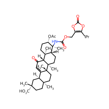 CC(=O)O[C@H]1CC[C@@]2(C)[C@@H](CC[C@]3(C)[C@@H]2C(=O)C=C2[C@@H]4C[C@@](C)(C(=O)O)CC[C@]4(C)CC[C@]23C)[C@]1(C)NC(=O)OCc1oc(=O)oc1C(C)C